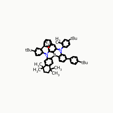 Cc1cc2c3c(c1)N(c1ccc(C(C)(C)C)cc1-c1ccccc1)c1cc4c(cc1B3c1ccc(-c3ccc(C(C)(C)C)cc3)cc1N2c1ccc(C(C)(C)C)cc1C)C(C)(C)CCC4(C)C